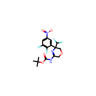 CC(C)(C)OC(=O)NC1=NC(c2cc([N+](=O)[O-])cc(F)c2F)(C(F)F)COC1